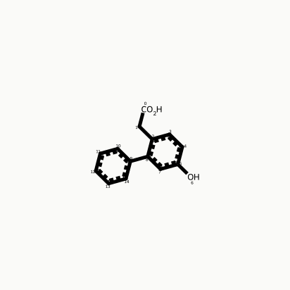 O=C(O)Cc1ccc(O)cc1-c1ccccc1